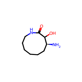 N[C@H]1CCCCCCNC(=O)C1O